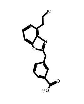 O=C(O)c1cccc(Cc2nc3c(CCBr)cccc3o2)c1